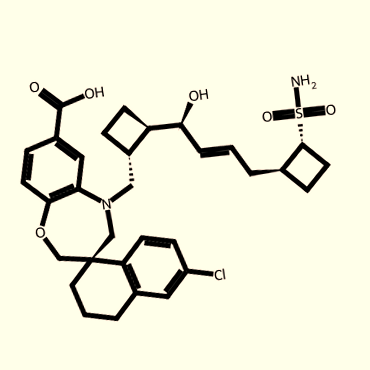 NS(=O)(=O)[C@@H]1CC[C@H]1C/C=C/[C@H](O)[C@@H]1CC[C@H]1CN1C[C@@]2(CCCc3cc(Cl)ccc32)COc2ccc(C(=O)O)cc21